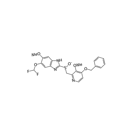 COc1cc2[nH]c([S+]([O-])Cc3nccc(OCc4ccccc4)c3OC)nc2cc1OC(F)F